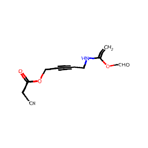 C=C(NCC#CCOC(=O)CC#N)OC=O